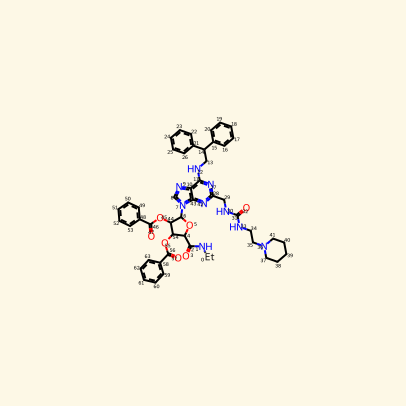 CCNC(=O)C1OC(n2cnc3c(NCC(c4ccccc4)c4ccccc4)nc(CNC(=O)NCCN4CCCCC4)nc32)C(OC(=O)c2ccccc2)C1OC(=O)c1ccccc1